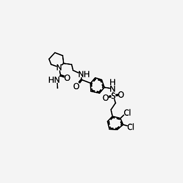 CNC(=O)N1CCCCC1CCNC(=O)c1ccc(NS(=O)(=O)CCc2cccc(Cl)c2Cl)cc1